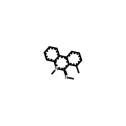 C/N=c1\c2c(C)cccc2c2ccccc2n1C